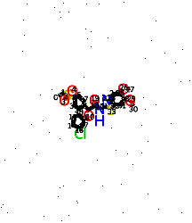 CCS(=O)(=O)c1ccc(C(Oc2cccc(Cl)c2)C(=O)Nc2nc3cc(OC)c(OC)cc3s2)cc1